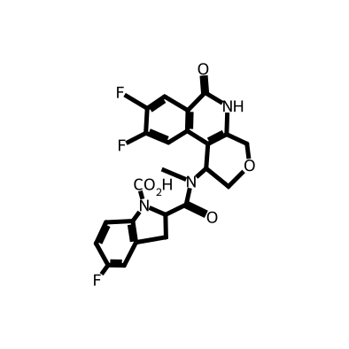 CN(C(=O)C1Cc2cc(F)ccc2N1C(=O)O)C1COCc2[nH]c(=O)c3cc(F)c(F)cc3c21